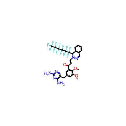 COc1cc(Cc2cnc(N)nc2N)cc(C(=O)/C=C/N2N=Cc3ccccc3C2C(F)(F)C(F)(F)C(F)(F)C(F)(F)C(F)(F)C(F)(F)F)c1OC